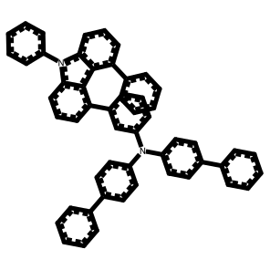 c1ccc(-c2ccc(N(c3ccc(-c4ccccc4)cc3)c3cccc(-c4cccc5c4c4c(-c6ccccc6)cccc4n5-c4ccccc4)c3)cc2)cc1